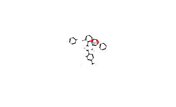 Cc1cc(C(C)(C)C)cc(C)c1C(=O)P(=O)(C(=O)c1c(COc2ccccc2)cccc1COc1ccccc1)c1ccccc1